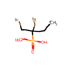 CCC(Br)(CBr)P(=O)(O)O